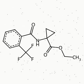 CCOC(=O)C1(NC(=O)c2ccccc2C(F)(F)F)CC1